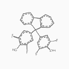 Oc1c(F)cc(C2(c3cc(F)c(O)c(F)c3)c3ccccc3-c3ccccc32)cc1F